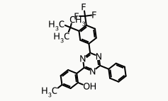 Cc1ccc(-c2nc(-c3ccccc3)nc(-c3ccc(C(F)(F)F)c(C(C)(C)C)c3)n2)c(O)c1